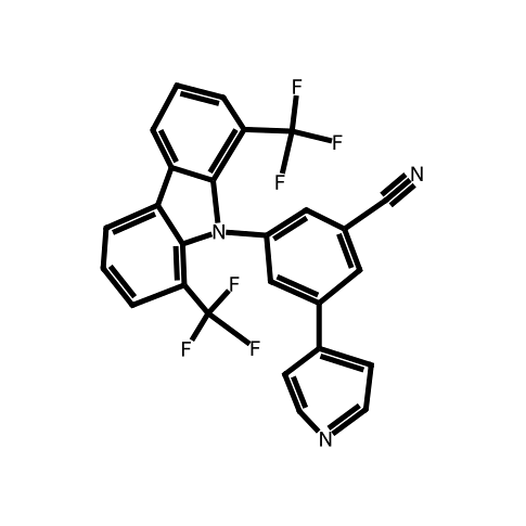 N#Cc1cc(-c2ccncc2)cc(-n2c3c(C(F)(F)F)cccc3c3cccc(C(F)(F)F)c32)c1